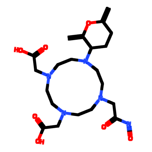 C=C1CCC(N2CCN(CC(=O)O)CCN(CC(=O)O)CCN(CC(=O)N=O)CC2)C(=C)O1